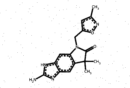 Cc1cc(CN2C(=O)C(C)(C)c3cc4nc(N)[nH]c4cc32)on1